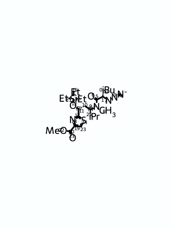 CC[C@H](C)C(N=[N+]=[N-])C(=O)N(C)[C@H](C[C@@H](O[Si](CC)(CC)CC)c1nc(C(=O)OC)cs1)C(C)C